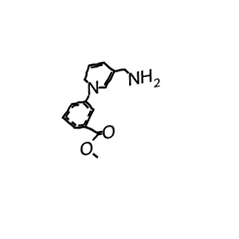 COC(=O)c1cccc(N2C=C(CN)C=CC2)c1